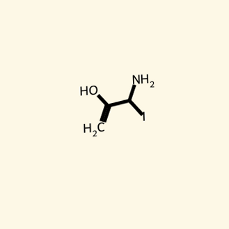 C=C(O)C(N)I